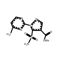 COC(=O)c1cnn(-c2nccc(C)n2)c1S(N)(=O)=O